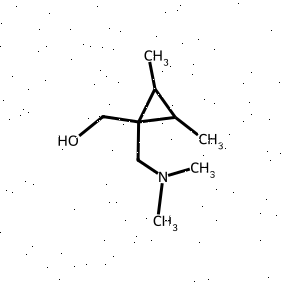 CC1C(C)C1(CO)CN(C)C